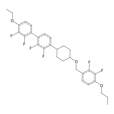 CCCOc1ccc(COC2CCC(c3ccc(-c4ccc(OCC)c(F)c4F)c(F)c3F)CC2)c(F)c1F